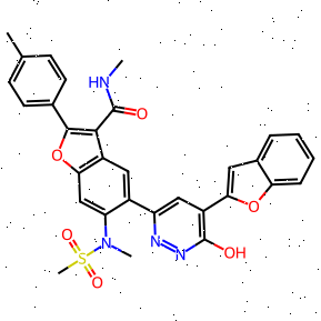 CNC(=O)c1c(-c2ccc(C)cc2)oc2cc(N(C)S(C)(=O)=O)c(-c3cc(-c4cc5ccccc5o4)c(O)nn3)cc12